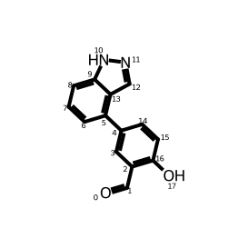 O=Cc1cc(-c2cccc3[nH]ncc23)ccc1O